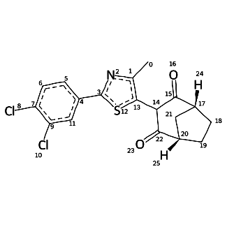 Cc1nc(-c2ccc(Cl)c(Cl)c2)sc1C1C(=O)[C@@H]2CC[C@@H](C2)C1=O